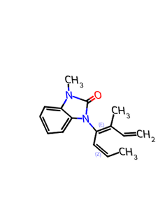 C=C/C(C)=C(\C=C/C)n1c(=O)n(C)c2ccccc21